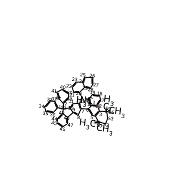 Cc1cc2c(cc1-c1cc3c(cc1N(c1ccccc1)c1cccc4ccccc14)C(c1ccccc1)(c1ccccc1)c1ccccc1-3)C(C)(C)CCC2(C)C